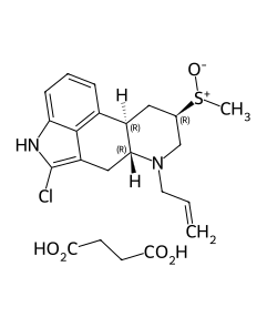 C=CCN1C[C@H]([S+](C)[O-])C[C@@H]2c3cccc4[nH]c(Cl)c(c34)C[C@H]21.O=C(O)CCC(=O)O